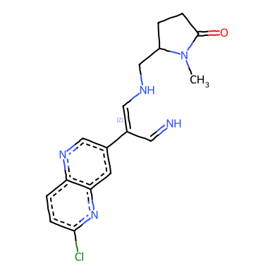 CN1C(=O)CCC1CN/C=C(\C=N)c1cnc2ccc(Cl)nc2c1